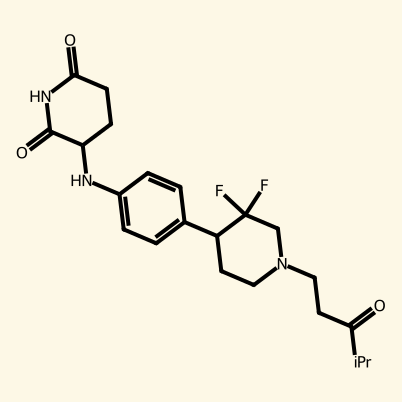 CC(C)C(=O)CCN1CCC(c2ccc(NC3CCC(=O)NC3=O)cc2)C(F)(F)C1